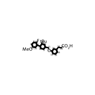 COc1ccc(F)c(-c2ccc(COc3cccc(CCC(=O)O)c3)cc2C(C)(C)C)c1